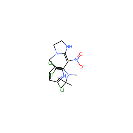 CN(C(=C(Cl)Cl)/C(=C1/NCCN1Cc1ccc(Cl)nc1)[N+](=O)[O-])C(C)(C)C